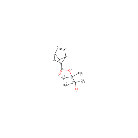 CC(C)(OC(=O)C1CC2C=CC1C2)C(C)(O)C(F)(F)F